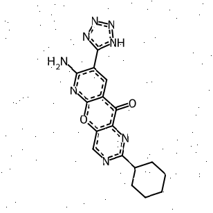 Nc1nc2oc3cnc(C4CCCCC4)nc3c(=O)c2cc1-c1nnn[nH]1